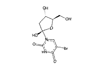 O=c1[nH]c(=O)n([C@]2(O)C[C@H](O)[C@@H](CO)O2)cc1Br